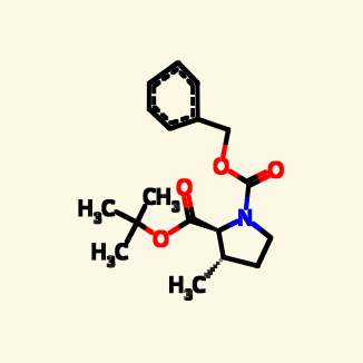 C[C@H]1CCN(C(=O)OCc2ccccc2)[C@@H]1C(=O)OC(C)(C)C